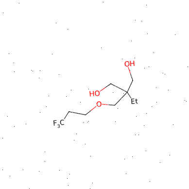 CCC(CO)(CO)COCCC(F)(F)F